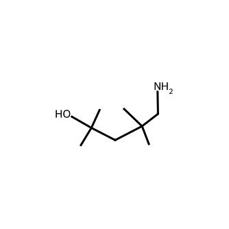 CC(C)(O)CC(C)(C)CN